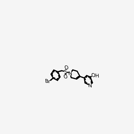 O=S(=O)(Cc1ccc(Br)cc1)N1CC=C(c2cncc(O)c2)CC1